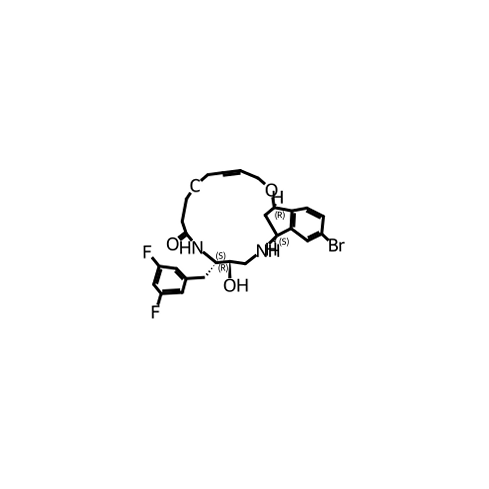 O=C1CCCCC=CCO[C@@H]2C[C@H](NC[C@@H](O)[C@H](Cc3cc(F)cc(F)c3)N1)c1cc(Br)ccc12